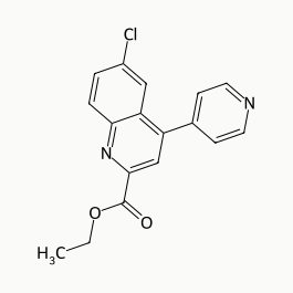 CCOC(=O)c1cc(-c2ccncc2)c2cc(Cl)ccc2n1